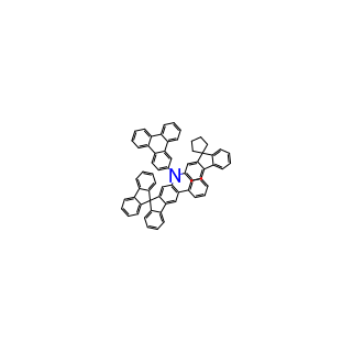 c1ccc(-c2cc3c(cc2N(c2ccc4c(c2)C2(CCCC2)c2ccccc2-4)c2ccc4c5ccccc5c5ccccc5c4c2)C2(c4ccccc4-c4ccccc42)c2ccccc2-3)cc1